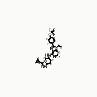 CCn1c(-c2ccc(OC(F)(F)F)cc2)nc2c(NC3CCc4nnc(C5CC5)n4C3)ncnc21